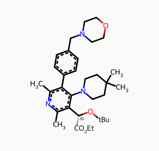 CCOC(=O)[C@@H](OC(C)(C)C)c1c(C)nc(C)c(-c2ccc(CN3CCOCC3)cc2)c1N1CCC(C)(C)CC1